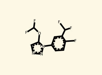 Fc1ccc(-n2nn[c]c2OC(F)F)cc1C(F)F